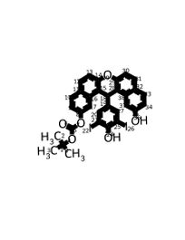 CC(C)(C)OC(=O)Oc1ccc2ccc3c(c2c1)C(c1cc(I)c(O)c(I)c1)c1c(ccc2ccc(O)cc12)O3